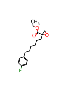 CCOC(=O)C1(CCCCCCc2ccc(F)cc2)CO1